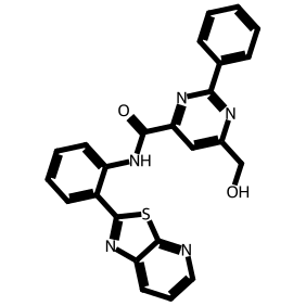 O=C(Nc1ccccc1-c1nc2cccnc2s1)c1cc(CO)nc(-c2ccccc2)n1